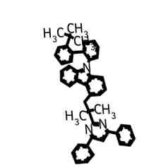 CC(C)(C)c1ccccc1-c1ccccc1-n1c2ccccc2c2c(CC(C)(C)c3nc(-c4ccccc4)cc(-c4ccccc4)n3)cccc21